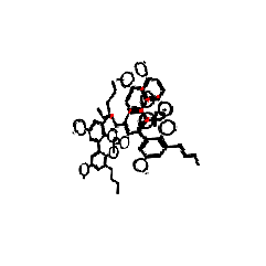 CCCCc1cc(OC)cc(-c2cc(OC)cc(CCCC)c2Op2oc3c(CCCC)cc(OC)cc3c3cc(OC)cc(CCCC)c3o2)c1OP(Oc1ccc(OC)cc1)Oc1ccc(OC)cc1